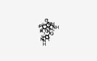 CN(C(=O)c1ccc2[nH]ncc2c1)[C@H]1CNCc2[nH]c(=O)c3cc(F)c(F)cc3c21